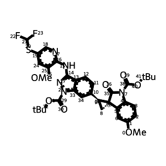 COc1ccc2c(c1)[C@]1(C[C@H]1c1ccc3c(Nc4ncc(SC(F)F)cc4OC)nn(C(=O)OC(C)(C)C)c3c1)C(=O)N2C(=O)OC(C)(C)C